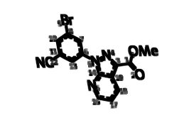 COC(=O)c1nn(-c2cc(Br)cc(C#N)c2)c2ncccc12